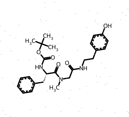 CN(CC(=O)NCCc1ccc(O)cc1)C(=O)[C@H](Cc1ccccc1)NC(=O)OC(C)(C)C